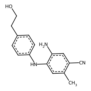 Cc1cc(Nc2ccc(CCO)cc2)c(N)cc1C#N